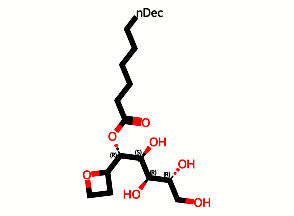 CCCCCCCCCCCCCCCC(=O)O[C@@H](C1CCO1)[C@@H](O)[C@H](O)[C@H](O)CO